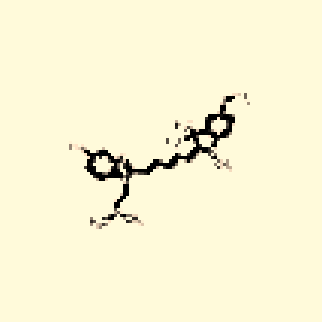 CSc1ccc2c(c1)C(C)(C)\C(=C/C=C/C=C/c1sc3cc(O)ccc3[n+]1CCN(C)C)N2C